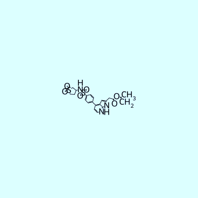 C=C(C)OC(=O)Cc1cc2c(-c3ccc(S(=O)(=O)NC4CCS(=O)(=O)C4)cc3)ccnc2[nH]1